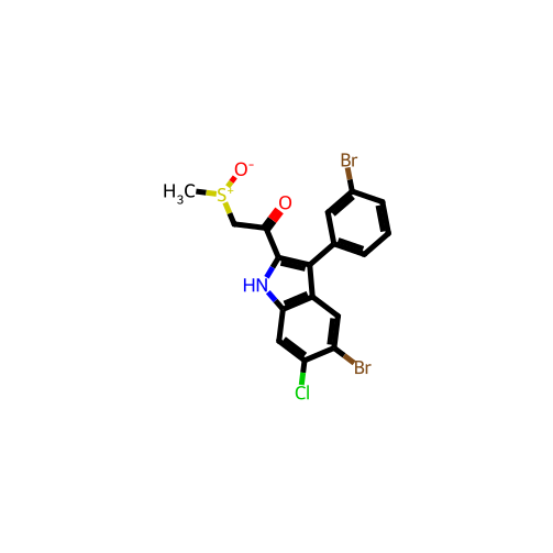 C[S+]([O-])CC(=O)c1[nH]c2cc(Cl)c(Br)cc2c1-c1cccc(Br)c1